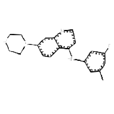 Fc1cc(F)cc(Nc2ccnc3cc(N4CCOCC4)ccc23)c1